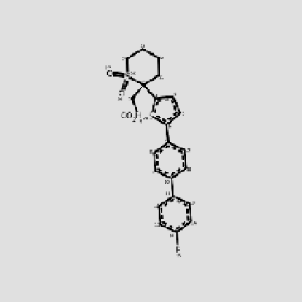 O=C(O)C[C@]1(c2ccc(-c3ccc(-c4ccc(F)cc4)cc3)s2)CCCCS1(=O)=O